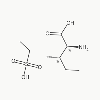 CCS(=O)(=O)O.CC[C@H](C)[C@H](N)C(=O)O